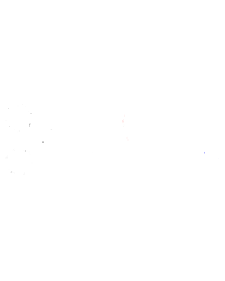 CC(C)(CCO[Si](c1ccccc1)(c1ccccc1)C(C)(C)C)COS(=O)(=O)CCOCCN